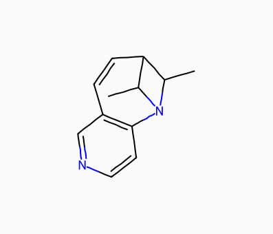 CC1C2C=Cc3cnccc3N1C2C